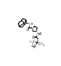 CC(C)(C)OC(=O)N[C@H]1CCN(C(=O)NC2C3CC4CC(C3)CC2C4)C1